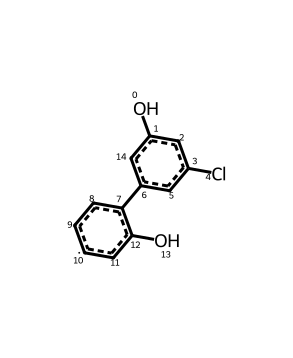 Oc1cc(Cl)cc(-c2cc[c]cc2O)c1